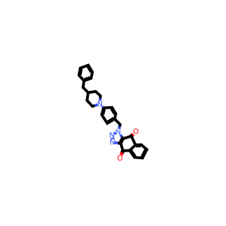 O=C1c2ccccc2C(=O)c2c1nnn2Cc1ccc(N2CCC(Cc3ccccc3)CC2)cc1